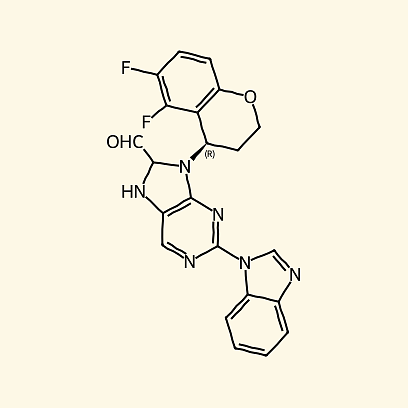 O=CC1Nc2cnc(-n3cnc4ccccc43)nc2N1[C@@H]1CCOc2ccc(F)c(F)c21